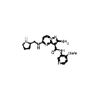 COc1ccncc1NC(=O)c1c(N)nn2ccc(NCC3CCCN3)nc12